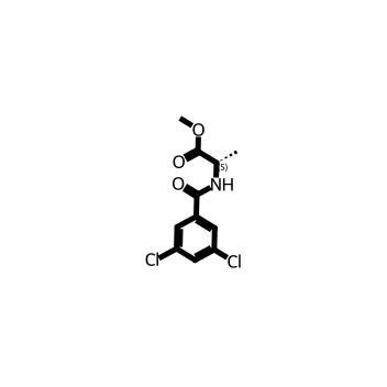 COC(=O)[C@H](C)NC(=O)c1cc(Cl)cc(Cl)c1